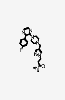 CN(C)C(=O)CCn1cc(CN2CCN(c3nccnc3-c3ccc(F)cc3)CC2)cn1